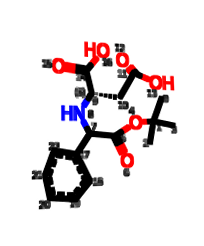 CC(C)(C)OC(=O)C(N[C@@H](CC(=O)O)C(=O)O)c1ccccc1